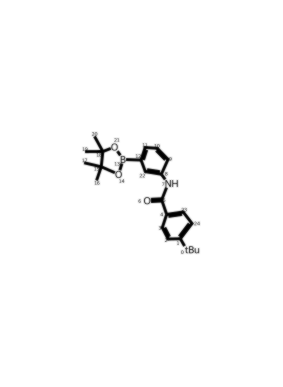 CC(C)(C)c1ccc(C(=O)Nc2cccc(B3OC(C)(C)C(C)(C)O3)c2)cc1